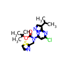 CC(C)c1cnn2c(N(Cc3nccs3)C(=O)OC(C)(C)C)cc(Cl)nc12